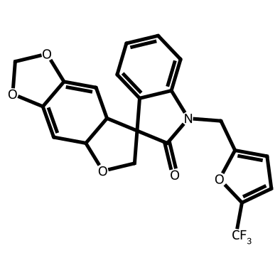 O=C1N(Cc2ccc(C(F)(F)F)o2)c2ccccc2C12COC1C=C3OCOC3=CC12